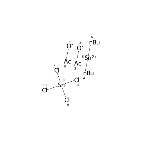 CC(=O)[O-].CC(=O)[O-].CCC[CH2][Sn+2][CH2]CCC.[Cl][Sn]([Cl])([Cl])[Cl]